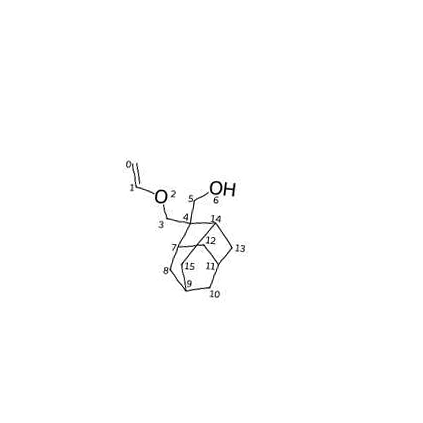 C=COCC1(CO)C2CC3CC(C2)CC1C3